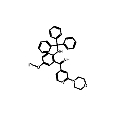 CC(C)Oc1ccc(NC(c2ccccc2)(c2ccccc2)c2ccccc2)c(C(=N)c2ccnc(N3CCOCC3)c2)c1